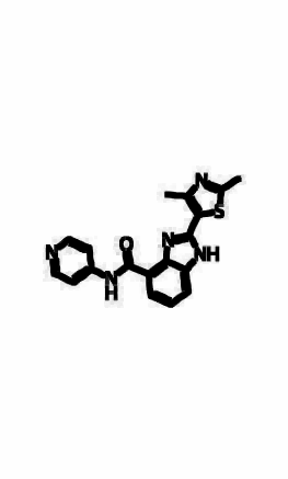 Cc1nc(C)c(-c2nc3c(C(=O)Nc4ccncc4)cccc3[nH]2)s1